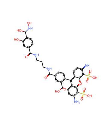 N=c1ccc2c(-c3ccc(C(=O)NCCCNC(=O)c4ccc(C(O)NO)c(O)c4)cc3C(=O)O)c3ccc(N)c(S(=O)(=O)O)c3oc-2c1S(=O)(=O)O